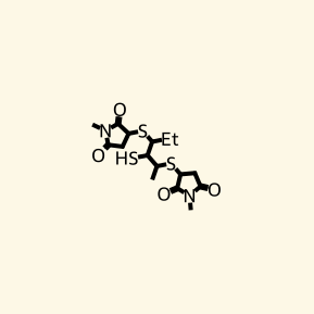 CCC(SC1CC(=O)N(C)C1=O)C(S)C(C)SC1CC(=O)N(C)C1=O